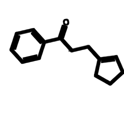 O=C([CH]CC1=CCCC1)c1ccccc1